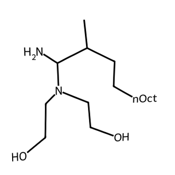 CCCCCCCCCCC(C)C(N)N(CCO)CCO